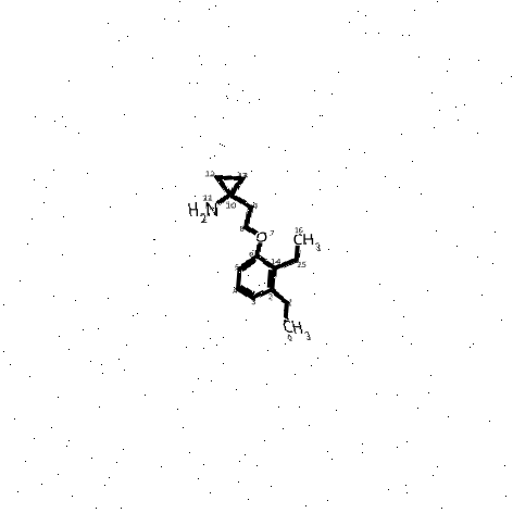 CCc1cccc(OCCC2(N)CC2)c1CC